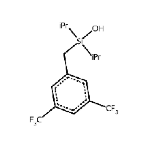 CC(C)[Si](O)(Cc1cc(C(F)(F)F)cc(C(F)(F)F)c1)C(C)C